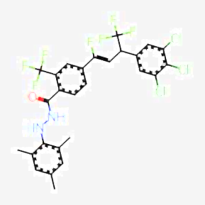 Cc1cc(C)c(NNC(=O)c2ccc(C(F)=CC(c3cc(Cl)c(Cl)c(Cl)c3)C(F)(F)F)cc2C(F)(F)F)c(C)c1